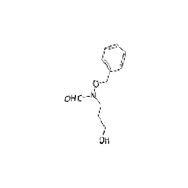 O=CN(CCCO)OCc1ccccc1